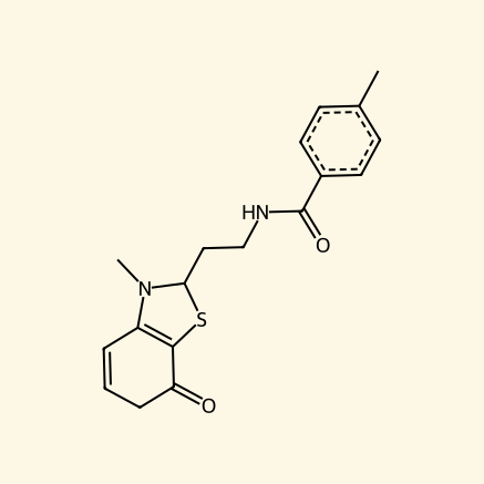 Cc1ccc(C(=O)NCCC2SC3=C(C=CCC3=O)N2C)cc1